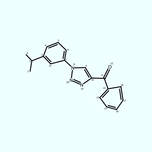 CC(C)c1cccc(-n2cc(C(=O)c3ccccc3)nn2)c1